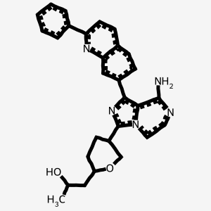 CC(O)CC1CCC(c2nc(-c3ccc4ccc(-c5ccccc5)nc4c3)c3c(N)nccn23)CO1